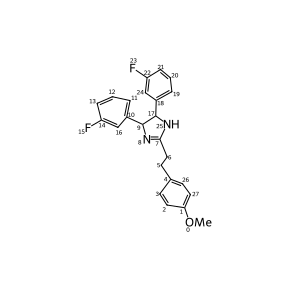 COc1ccc(CCC2=NC(c3cccc(F)c3)C(c3cccc(F)c3)N2)cc1